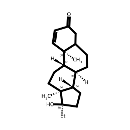 CC[C@@]1(O)CC[C@H]2[C@@H]3CCC4CC(=O)C=C[C@]4(C)[C@H]3CC[C@@]21C